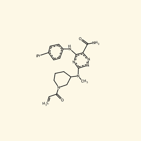 C=CC(=O)N1CCCC(N(C)c2nnc(C(N)=O)c(Nc3ccc(C(C)C)cc3)n2)C1